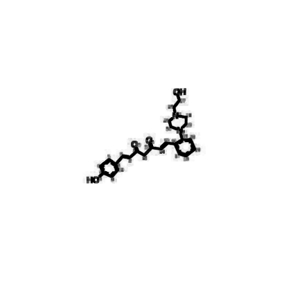 O=C(/C=C/c1ccc(O)cc1)CC(=O)/C=C/c1ccccc1N1CCN(CCO)CC1